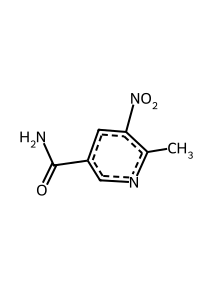 Cc1ncc(C(N)=O)cc1[N+](=O)[O-]